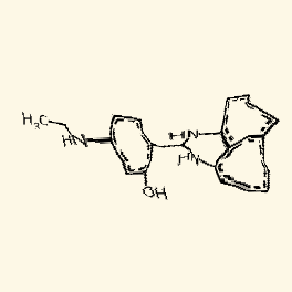 CCNc1ccc(C2Nc3cccc4cccc(c34)N2)c(O)c1